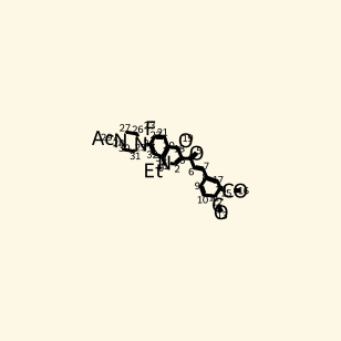 CCn1cc(C(=O)C=Cc2ccc(=C=O)c(=C=O)c2)c(=O)c2cc(F)c(N3CCN(C(C)=O)CC3)cc21